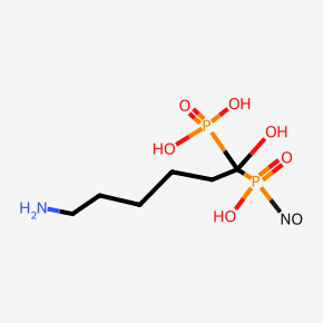 NCCCCCC(O)(P(=O)(O)O)P(=O)(O)N=O